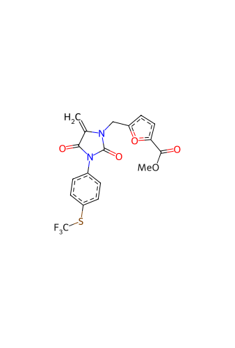 C=C1C(=O)N(c2ccc(SC(F)(F)F)cc2)C(=O)N1Cc1ccc(C(=O)OC)o1